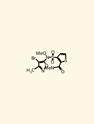 CNC(=O)c1sccc1S(=O)(=O)N(OC)c1onc(C)c1Br